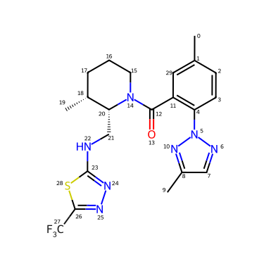 Cc1ccc(-n2ncc(C)n2)c(C(=O)N2CCC[C@@H](C)[C@H]2CNc2nnc(C(F)(F)F)s2)c1